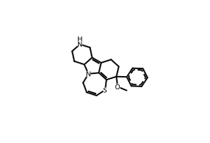 COC1(c2ccccc2)CCC2=C3CNCCC3N3CC=CSC1=C23